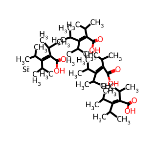 CC(C)C(C(=O)O)=C(C(C)C)C(C)C.CC(C)C(C(=O)O)=C(C(C)C)C(C)C.CC(C)C(C(=O)O)=C(C(C)C)C(C)C.CC(C)C(C(=O)O)=C(C(C)C)C(C)C.[Si]